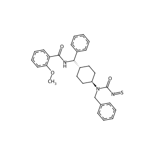 COc1ccccc1C(=O)NC(c1ccccc1)[C@H]1CC[C@H](N(Cc2ccccc2)C(=O)N=S)CC1